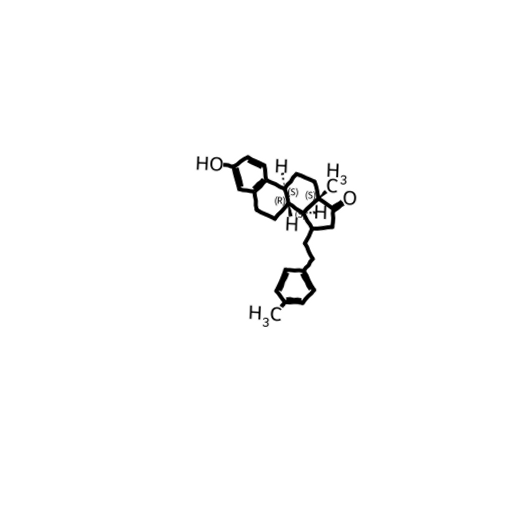 Cc1ccc(CCC2CC(=O)[C@@]3(C)CC[C@@H]4c5ccc(O)cc5CC[C@H]4[C@H]23)cc1